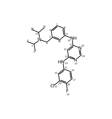 CC(C)N(Cc1cccc(Nc2cc(Nc3ccc(F)c(Cl)c3)ncn2)c1)C(C)C